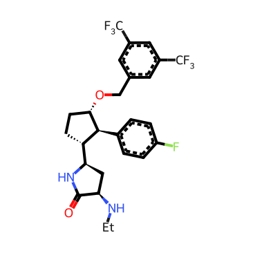 CCN[C@@H]1C[C@H]([C@@H]2CC[C@H](OCc3cc(C(F)(F)F)cc(C(F)(F)F)c3)[C@H]2c2ccc(F)cc2)NC1=O